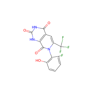 O=c1[nH]c(=O)c2cc(C(F)(F)F)n(-c3c(O)cccc3F)c(=O)c2[nH]1